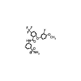 COc1ccc(Oc2ccc(C(F)(F)F)cc2C(=O)Nc2cccc(S(N)(=O)=O)c2)cc1F